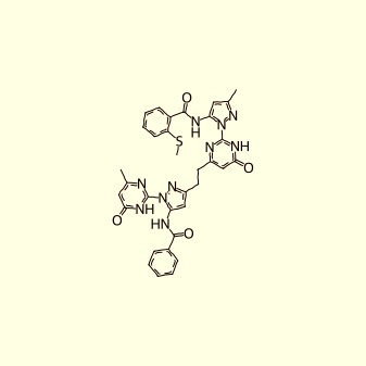 CSc1ccccc1C(=O)Nc1cc(C)nn1-c1nc(CCc2cc(NC(=O)c3ccccc3)n(-c3nc(C)cc(=O)[nH]3)n2)cc(=O)[nH]1